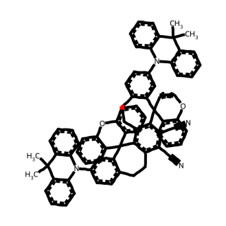 CC1(C)c2ccccc2N(c2ccc3c(c2)C2(c4ccccc4Oc4ccccc42)c2c(C#N)c(C#N)c4c(c2CC3)C2(c3cc(N5c6ccccc6C(C)(C)c6ccccc65)ccc3CC4)c3ccccc3Oc3ccccc32)c2ccccc21